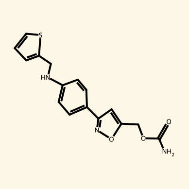 NC(=O)OCc1cc(-c2ccc(NCc3cccs3)cc2)no1